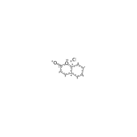 O=c1ccc2ccccc2o1.[C]